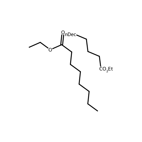 CCCCCCCC(=O)OCC.CCCCCCCCCCCCCC(=O)OCC